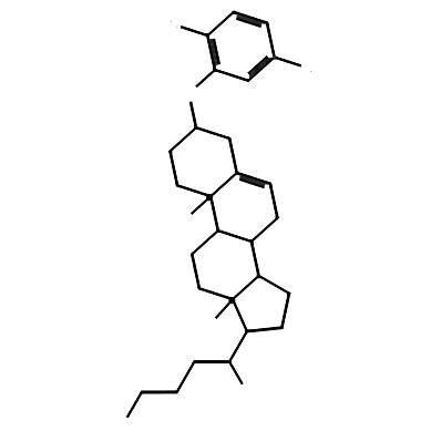 CC(C)CCCC(C)C1CCC2C3CC=C4CC(Oc5cc(N)ccc5N)CCC4(C)C3CCC12C